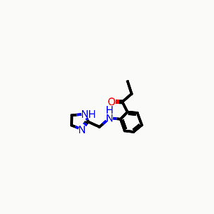 CCC(=O)c1ccccc1NCC1=NCCN1